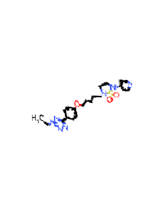 CCn1nnc(-c2ccc(OCCCCCN3CCN(c4ccncc4)S3(=O)=O)cc2)n1